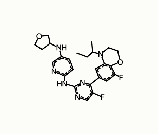 CCC(C)N1CCOc2c(F)cc(-c3nc(Nc4ccc(NC5CCOC5)cn4)ncc3F)cc21